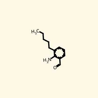 CCCCCc1cccc(C=O)c1N